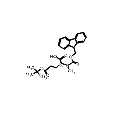 CN(C(=O)OCC1c2ccccc2-c2ccccc21)[C@@H](CCC(=O)OC(C)(C)C)C(=O)O